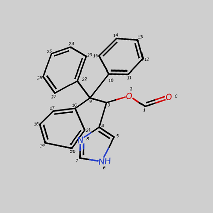 O=COC(c1c[nH]cn1)C(c1ccccc1)(c1ccccc1)c1ccccc1